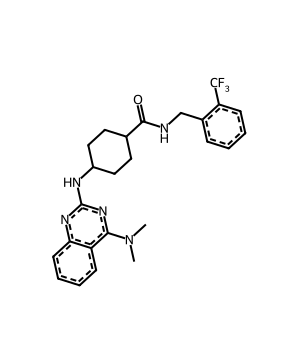 CN(C)c1nc(NC2CCC(C(=O)NCc3ccccc3C(F)(F)F)CC2)nc2ccccc12